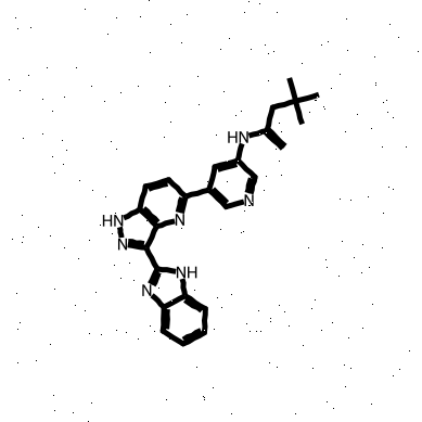 C=C(CC(C)(C)C)Nc1cncc(-c2ccc3[nH]nc(-c4nc5ccccc5[nH]4)c3n2)c1